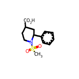 CS(=O)(=O)N1CCC(C(=O)O)CC1c1ccccc1